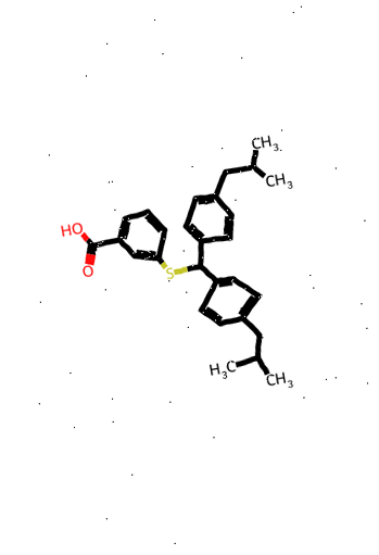 CC(C)Cc1ccc(C(Sc2cccc(C(=O)O)c2)c2ccc(CC(C)C)cc2)cc1